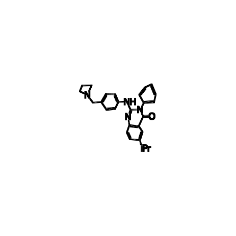 CC(C)c1ccc2nc(Nc3ccc(CN4CCC4)cc3)n(-c3ccccc3)c(=O)c2c1